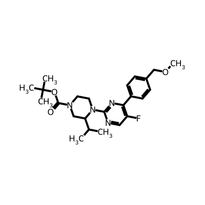 COCc1ccc(-c2nc(N3CCN(C(=O)OC(C)(C)C)CC3C(C)C)ncc2F)cc1